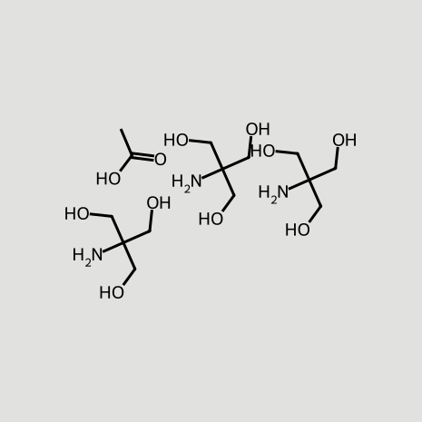 CC(=O)O.NC(CO)(CO)CO.NC(CO)(CO)CO.NC(CO)(CO)CO